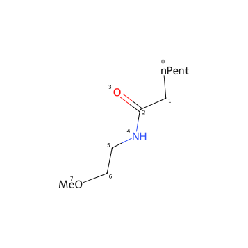 CCCCCCC(=O)NCCOC